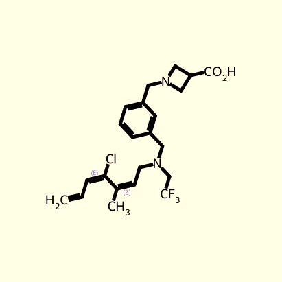 C=C/C=C(Cl)\C(C)=C/CN(Cc1cccc(CN2CC(C(=O)O)C2)c1)CC(F)(F)F